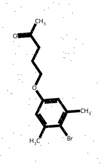 CC(=O)CCCOc1cc(C)c(Br)c(C)c1